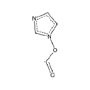 O=[C]On1ccnc1